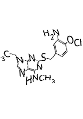 CCn1cnc2c(NC)nc(SCc3ccc(OC)c(N)c3)nc21